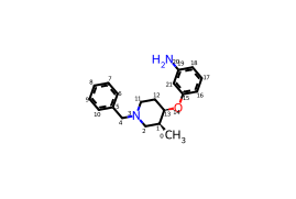 C[C@H]1CN(Cc2ccccc2)CC[C@H]1Oc1cccc(N)c1